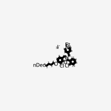 CCCCCCCCCCCCCCOc1ccc(CN(Cc2cc[n+](CC)cc2)C(=O)c2ccccc2Cl)cc1Cl.[I-]